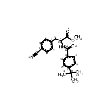 COC(=O)[C@H](Cc1ccc(C#N)cc1)NC(=O)c1ccc(C(C)(C)C)cc1